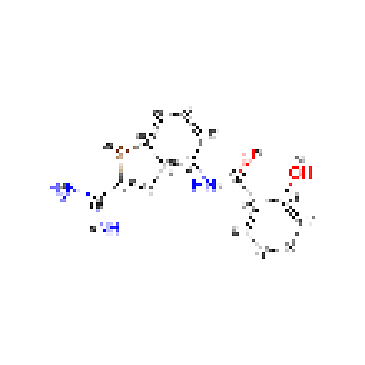 N=C(N)c1cc2c(NC(=O)c3ccccc3O)cccc2s1